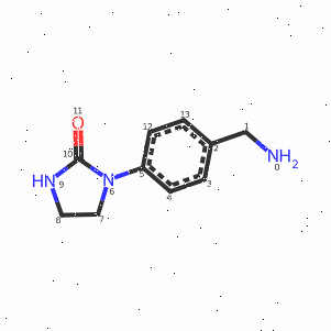 NCc1ccc(N2CCNC2=O)cc1